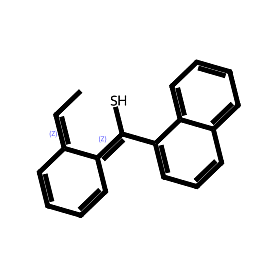 C/C=c1/cccc/c1=C(/S)c1cccc2ccccc12